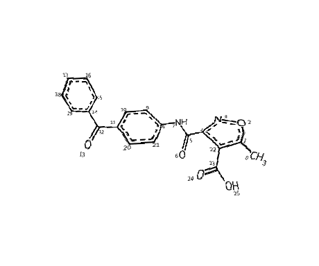 Cc1onc(C(=O)Nc2ccc(C(=O)c3ccccc3)cc2)c1C(=O)O